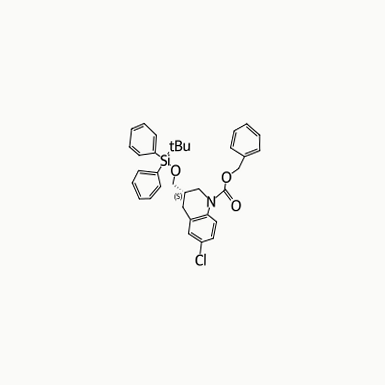 CC(C)(C)[Si](OC[C@H]1Cc2cc(Cl)ccc2N(C(=O)OCc2ccccc2)C1)(c1ccccc1)c1ccccc1